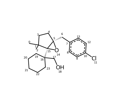 CC1(C)CC[C@@]2(Cc3ccc(Cl)cc3)O[C@@]12C1(CO)CCCCC1